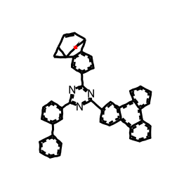 C1=CC2C3C=CC1c1ccc(-c4nc(-c5cccc(-c6ccccc6)c5)nc(-c5ccc6c7ccccc7c7ccccc7c6c5)n4)cc1C23